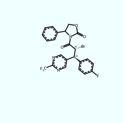 O=C1OCC(c2ccccc2)N1C(=O)[C@H](Br)[C@@H](c1ccc(F)cc1)c1cnc(C(F)(F)F)nc1